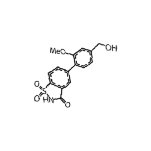 COc1cc(CO)ccc1-c1ccc2c(c1)C(=O)NS2(=O)=O